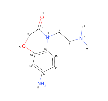 CN(C)CCN1C(=O)COc2cc(N)ccc21